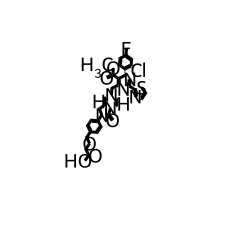 COC(=O)C1=C(CN2CCN3C(=O)N(c4ccc(COCC(=O)O)cc4)C[C@@H]3C2)NC(c2nccs2)=N[C@H]1c1ccc(F)cc1Cl